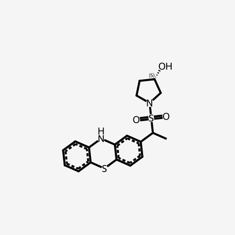 CC(c1ccc2c(c1)Nc1ccccc1S2)S(=O)(=O)N1CC[C@H](O)C1